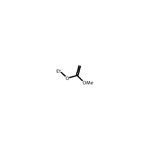 C=C(OC)OCC